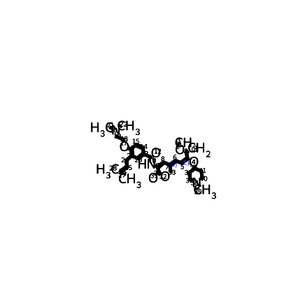 C=C(OC)/C(=C\C=C1\C=C(NC(=O)c2ccc(OCCN(C)C)c(CC=C(C)C)c2)C(=O)OC1)OC1CCN(C)CC1